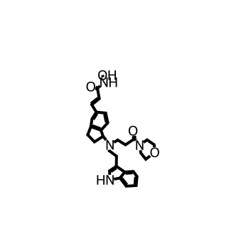 O=C(/C=C/c1ccc2c(c1)CCC2N(CCC(=O)N1CCOCC1)CCc1c[nH]c2ccccc12)NO